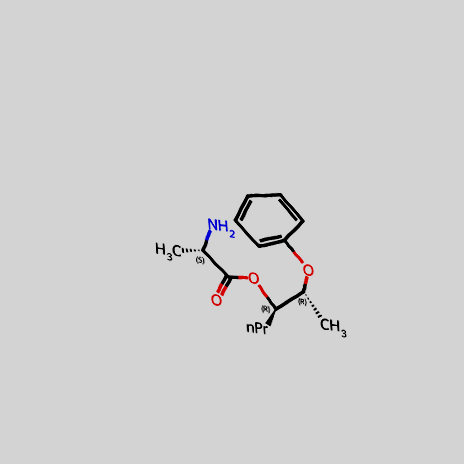 CCC[C@@H](OC(=O)[C@H](C)N)[C@@H](C)Oc1ccccc1